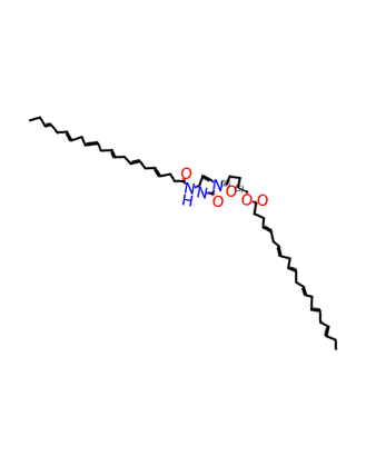 CCC=CCC=CCC=CCC=CCC=CCC=CCCC(=O)Nc1ccn([C@@H]2CC[C@@H](COC(=O)CCC=CCC=CCC=CCC=CCC=CCC=CCC)O2)c(=O)n1